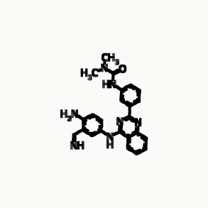 CN(C)C(=O)Nc1cccc(-c2nc(Nc3ccc(N)c(C=N)c3)c3ccccc3n2)c1